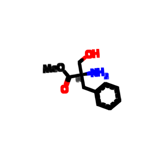 COC(=O)[C@](N)(CO)Cc1ccccc1